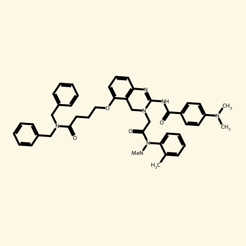 CNN(C(=O)CN1Cc2c(cccc2OCCCC(=O)N(Cc2ccccc2)Cc2ccccc2)N=C1NC(=O)c1ccc(N(C)C)cc1)c1ccccc1C